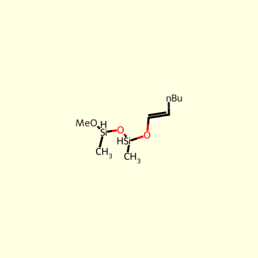 CCCCC=CO[SiH](C)O[SiH](C)OC